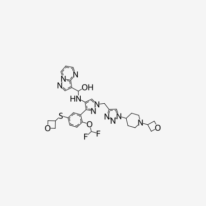 OC(Nc1cn(Cc2cn(C3CCN(C4COC4)CC3)nn2)nc1-c1cc(SC2COC2)ccc1OC(F)F)c1cnn2cccnc12